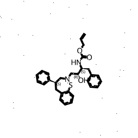 C=CCOC(=O)N[C@@H](Cc1ccccc1)[C@H](O)CN1C[C@H](c2ccccc2)Cc2ccccc2S1